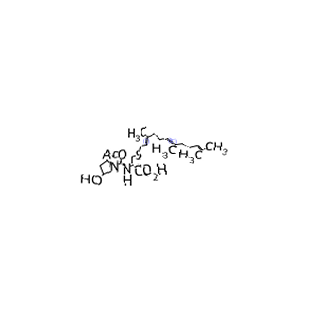 CC(=O)C1CC(O)CN1C(=O)NC(CSC/C=C(\C)CC/C=C(\C)CCC=C(C)C)C(=O)O